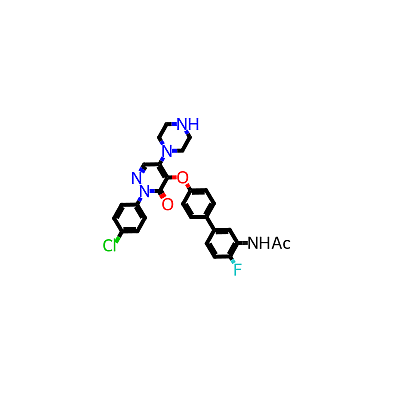 CC(=O)Nc1cc(-c2ccc(Oc3c(N4CCNCC4)cnn(-c4ccc(Cl)cc4)c3=O)cc2)ccc1F